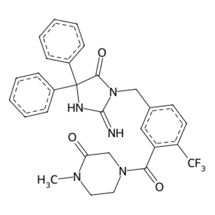 CN1CCN(C(=O)c2cc(CN3C(=N)NC(c4ccccc4)(c4ccccc4)C3=O)ccc2C(F)(F)F)CC1=O